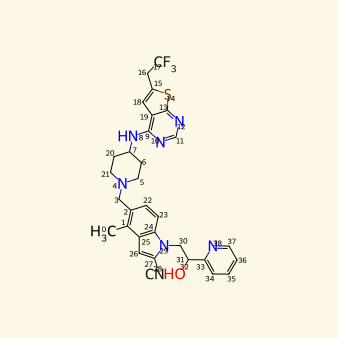 Cc1c(CN2CCC(Nc3ncnc4sc(CC(F)(F)F)cc34)CC2)ccc2c1cc(C#N)n2CC(O)c1ccccn1